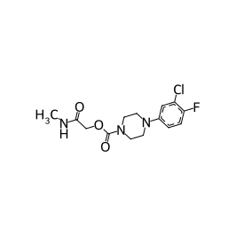 CNC(=O)COC(=O)N1CCN(c2ccc(F)c(Cl)c2)CC1